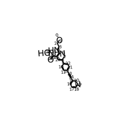 COCCNc1ncc(-c2ccc(C#Cc3cccnc3)cc2)cc1C(=O)NO